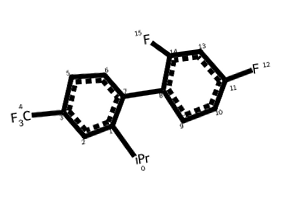 CC(C)c1cc(C(F)(F)F)ccc1-c1ccc(F)cc1F